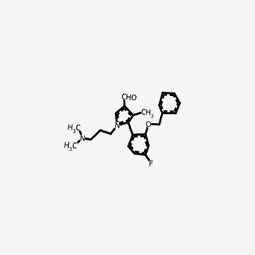 Cc1c(C=O)cn(CCCN(C)C)c1-c1ccc(F)cc1OCc1ccccc1